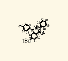 Cc1ccc(C(=N)c2cc(C(C)(C)C)ccc2C(=O)Oc2ccccc2)cc1